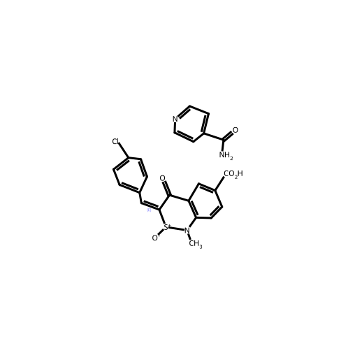 CN1c2ccc(C(=O)O)cc2C(=O)/C(=C\c2ccc(Cl)cc2)[S+]1[O-].NC(=O)c1ccncc1